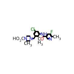 Cc1ncc(C(=O)Nc2cc(Cl)cc(CN3CCN(C(=O)O)C(C)C3)c2C)cc1F